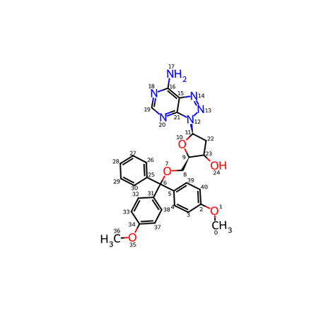 COc1ccc(C(OC[C@H]2O[C@@H](n3nnc4c(N)ncnc43)CC2O)(c2ccccc2)c2ccc(OC)cc2)cc1